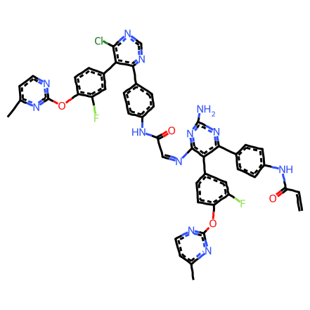 C=CC(=O)Nc1ccc(-c2nc(N)nc(/N=C\C(=O)Nc3ccc(-c4ncnc(Cl)c4-c4ccc(Oc5nccc(C)n5)c(F)c4)cc3)c2-c2ccc(Oc3nccc(C)n3)c(F)c2)cc1